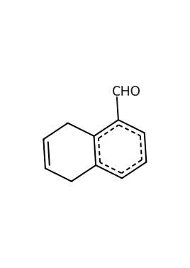 O=Cc1cccc2c1CC=CC2